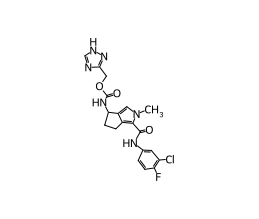 Cn1cc2c(c1C(=O)Nc1ccc(F)c(Cl)c1)CCC2NC(=O)OCc1nc[nH]n1